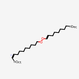 CCCCCCCC/C=C\CCCCCCCCOOC=CCCCCCCCCCCCCCCCC